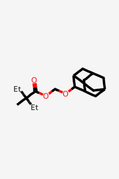 CCC(C)(CC)C(=O)OCOC1C2CC3CC(C2)CC1C3